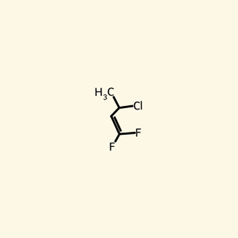 CC(Cl)C=C(F)F